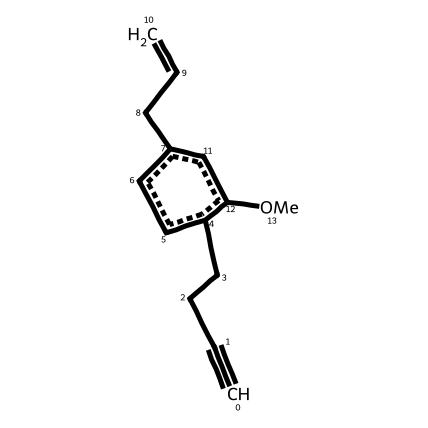 C#CCCc1ccc(CC=C)cc1OC